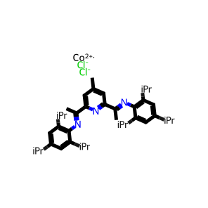 CC(=Nc1c(C(C)C)cc(C(C)C)cc1C(C)C)c1cc(C)cc(C(C)=Nc2c(C(C)C)cc(C(C)C)cc2C(C)C)n1.[Cl-].[Cl-].[Co+2]